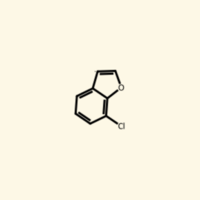 Clc1cccc2[c]coc12